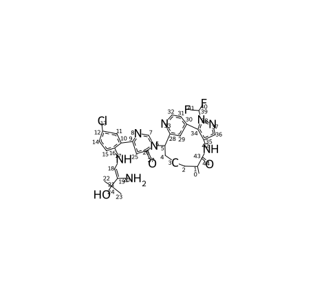 CC1CCCC(n2cnc(-c3cc(Cl)ccc3N/C=C(\N)C(C)(C)O)cc2=O)c2cc(ccn2)-c2c(cnn2C(F)F)NC1=O